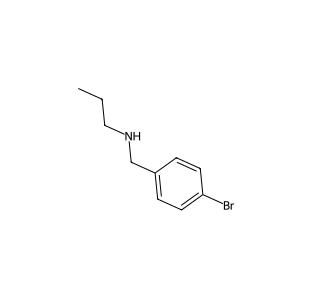 CCCNCc1ccc(Br)cc1